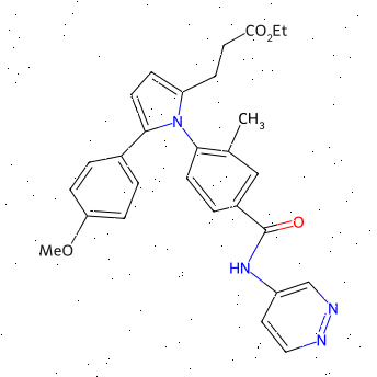 CCOC(=O)CCc1ccc(-c2ccc(OC)cc2)n1-c1ccc(C(=O)Nc2ccnnc2)cc1C